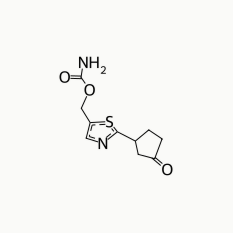 NC(=O)OCc1cnc(C2CCC(=O)C2)s1